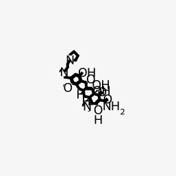 COc1c(CN(C)CCN2CCCC2)cc(O)c2c1C[C@H]1C[C@H]3[C@H](N(C)C)C(O)=C(C(N)=O)C(=O)[C@@]3(O)C(O)=C1C2=O